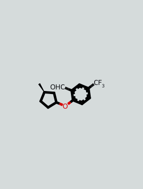 C[C@@H]1CCC(Oc2ccc(C(F)(F)F)cc2C=O)C1